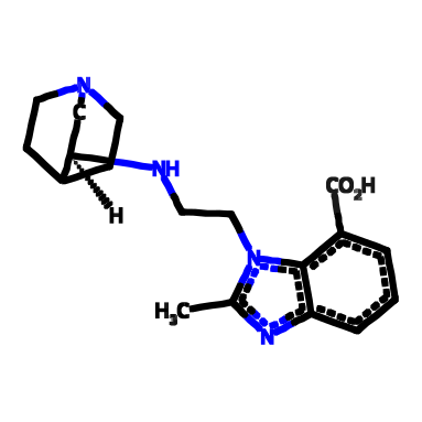 Cc1nc2cccc(C(=O)O)c2n1CCN[C@@H]1CN2CCC1CC2